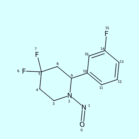 O=NN1CCC(F)(F)CC1c1cccc(F)c1